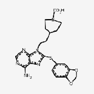 Nc1ncnc2c1nc(Sc1ccc3c(c1)OCO3)n2CCC1CCN(C(=O)O)CC1